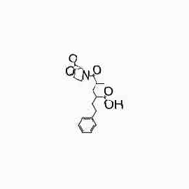 CC(CC(CCc1ccccc1)C(=O)O)C(=O)N1CC2CC1C(=O)O2